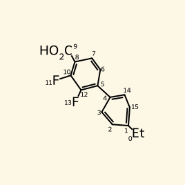 CCc1ccc(-c2ccc(C(=O)O)c(F)c2F)cc1